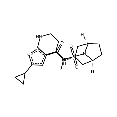 CN(C1CCNCC1)S(=O)(=O)N1[C@@H]2CC[C@H]1C[C@H](NC(=O)c1cc(C3CC3)on1)C2